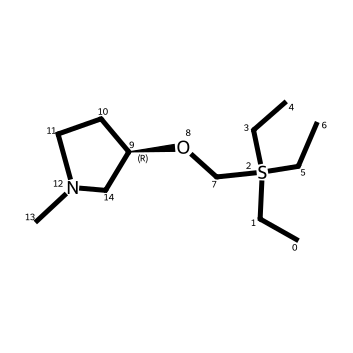 CCS(CC)(CC)CO[C@@H]1CCN(C)C1